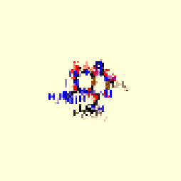 CC(=O)C1NC(=O)[C@H](Cc2ccccc2)NC(=O)[C@@H]2CSSC[C@H](NC(=O)[C@H](CCCCNC(C)(C)C)NC(=O)CS1)C(=O)N[C@@H](CCCNC(=N)N)C(=O)NCC(=O)N[C@@H](CC(=O)O)C(=O)N2